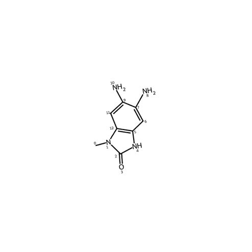 Cn1c(=O)[nH]c2cc(N)c(N)cc21